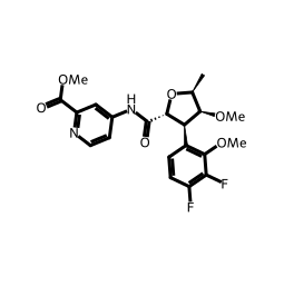 COC(=O)c1cc(NC(=O)[C@@H]2O[C@@H](C)[C@@H](OC)[C@H]2c2ccc(F)c(F)c2OC)ccn1